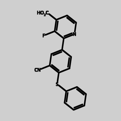 [C-]#[N+]c1cc(-c2nccc(C(=O)O)c2F)ccc1Sc1ccccc1